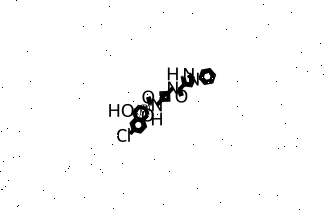 O=C(NC12CC(NC(=O)[C@H]3C[C@@H](O)c4cc(Cl)ccc4O3)(C1)C2)c1cnn(-c2ccccc2)c1